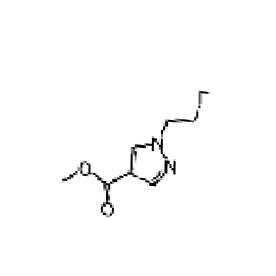 COC(=O)c1cnn(CCF)c1